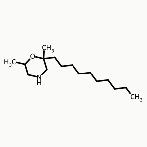 CCCCCCCCCCC1(C)CNCC(C)O1